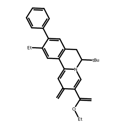 C=C1C=C2c3cc(CC)c(-c4ccccc4)cc3CC(C(C)(C)C)N2C=C1C(=C)OCC